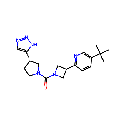 CC(C)(C)c1ccc(C2CN(C(=O)N3CC[C@H](c4cnn[nH]4)C3)C2)nc1